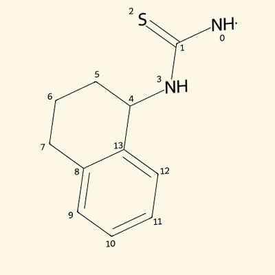 [NH]C(=S)NC1CCCc2ccccc21